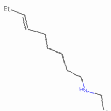 CC/C=C/CCCCCNCC(C)(C)C